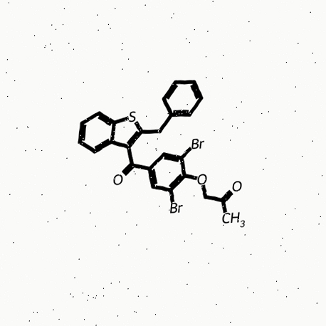 CC(=O)COc1c(Br)cc(C(=O)c2c(Cc3ccccc3)sc3ccccc23)cc1Br